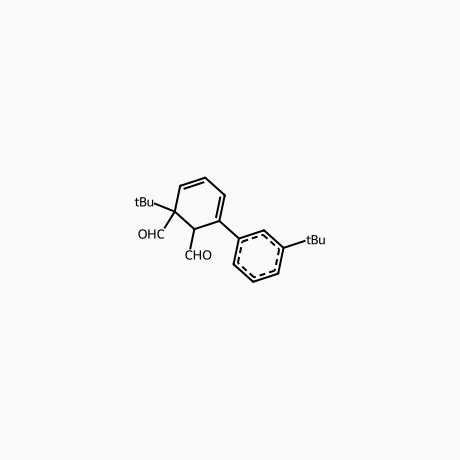 CC(C)(C)c1cccc(C2=CC=CC(C=O)(C(C)(C)C)C2C=O)c1